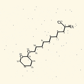 CCC(Cl)CCCCCCCCCOC1CCCCO1